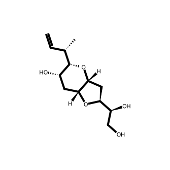 C=C[C@H](C)[C@@H]1O[C@@H]2C[C@@H]([C@@H](O)CO)O[C@@H]2C[C@@H]1O